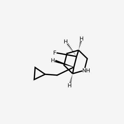 F[C@H]1[C@H]2CC[C@H](NC2)[C@@H]1CC1CC1